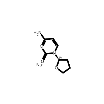 Nc1ccn([C@H]2CCCO2)c(=O)n1.[Na]